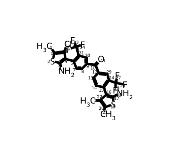 Cc1sc(N)c(-c2ccc(C(=O)c3ccc(-c4c(N)sc(C)c4C)c(C(F)(F)F)c3)cc2C(F)(F)F)c1C